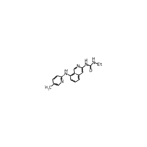 CCNC(=O)Nc1cc2cccc(Nc3ccc(C)cn3)c2cn1